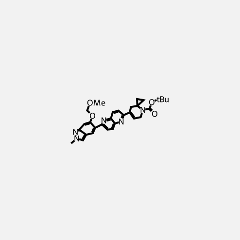 COCOc1cc2nn(C)cc2cc1-c1ccc2nc(C3=CCN(C(=O)OC(C)(C)C)C4(CC4)C3)ccc2n1